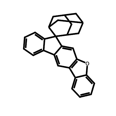 c1ccc2c(c1)-c1cc3c(cc1C21C2CC4CC(C2)CC1C4)oc1ccccc13